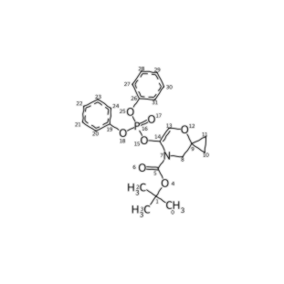 CC(C)(C)OC(=O)N1CC2(CC2)OC=C1OP(=O)(Oc1ccccc1)Oc1ccccc1